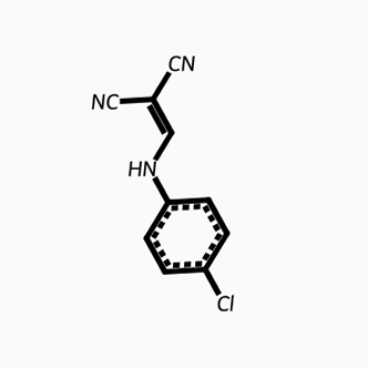 N#CC(C#N)=CNc1ccc(Cl)cc1